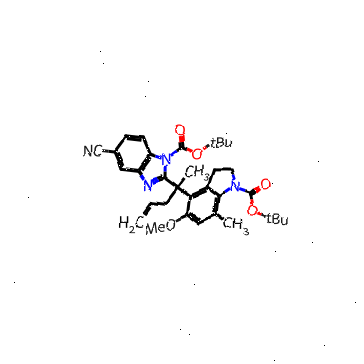 C=CCC(C)(c1c(OC)cc(C)c2c1CCN2C(=O)OC(C)(C)C)c1nc2cc(C#N)ccc2n1C(=O)OC(C)(C)C